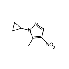 Cc1c([N+](=O)[O-])cnn1C1CC1